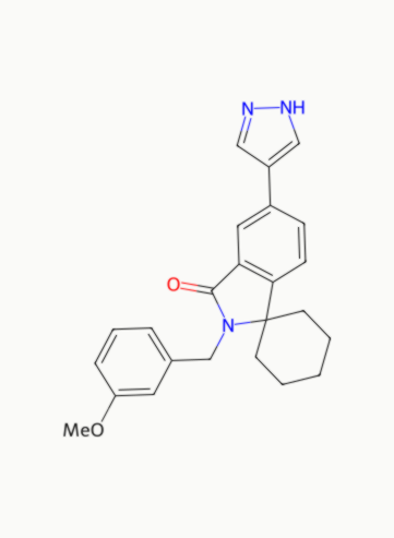 COc1cccc(CN2C(=O)c3cc(-c4cn[nH]c4)ccc3C23CCCCC3)c1